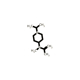 C=C(C)N(C)C1CCN(C(C)C)CC1